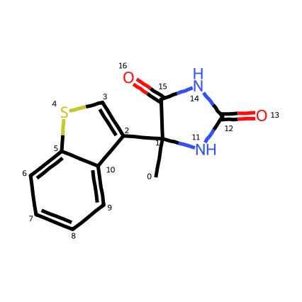 CC1(c2csc3ccccc23)NC(=O)NC1=O